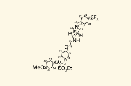 CCOC(=O)[C@H](Cc1ccc(OCCN[C@H]2[C@@H]3CN(Cc4ccc(C(F)(F)F)cc4)C[C@@H]32)cc1)Oc1ccc(OC)cc1